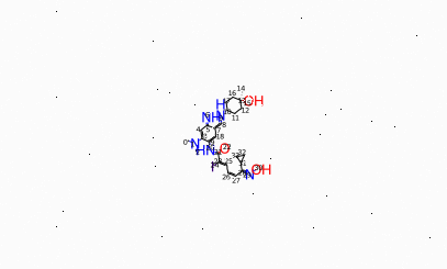 CN(C)C1=CC(=N)/C(=C\N[C@H]2CC[C@](C)(O)CC2)C=C1NC(=O)/C(I)=C/C=C\C(=N\O)C1CC1